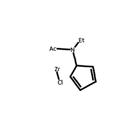 CCN(C(C)=O)C1C=CC=C1.[Cl][Zr]